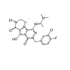 CCN1C[C@H](C)n2c(c(O)c3c(=O)n(Cc4ccc(F)c(Cl)c4)nc(/N=C(\C)N(C)C)c32)C1=O